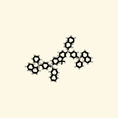 CC1(C)c2cc(N(c3ccc(N(c4ccccc4)c4cccc5ccccc45)cc3)c3ccc4ccccc4c3)ccc2-c2ccc(N(c3ccc(N(c4ccccc4)c4cccc5ccccc45)cc3)c3ccc4ccccc4c3)cc21